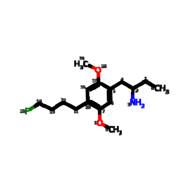 CCC(N)Cc1cc(OC)c(CCCCF)cc1OC